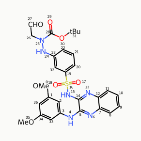 COc1cc(Nc2nc3ccccc3nc2NS(=O)(=O)c2cccc(NN(CC=O)C(=O)OC(C)(C)C)c2)cc(OC)c1